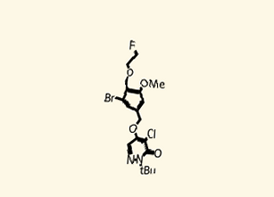 COc1cc(COc2cnn(C(C)(C)C)c(=O)c2Cl)cc(Br)c1COCCF